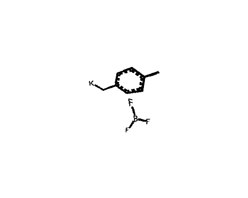 Cc1ccc([CH2][K])cc1.FB(F)F